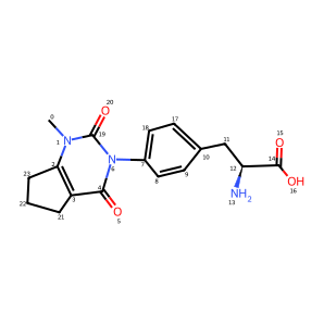 Cn1c2c(c(=O)n(-c3ccc(C[C@H](N)C(=O)O)cc3)c1=O)CCC2